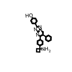 NC1(c2ccc(-c3nc4nc(-c5ccc(O)cc5)nn4cc3-c3ccccc3)cc2)CCC1